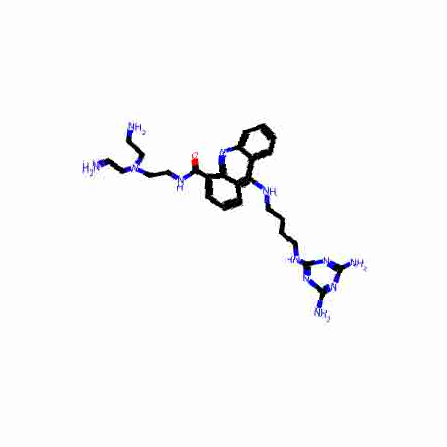 NCCN(CCN)CCNC(=O)c1cccc2c(NCCCCNc3nc(N)nc(N)n3)c3ccccc3nc12